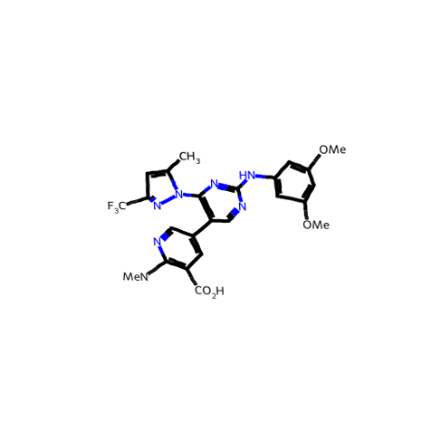 CNc1ncc(-c2cnc(Nc3cc(OC)cc(OC)c3)nc2-n2nc(C(F)(F)F)cc2C)cc1C(=O)O